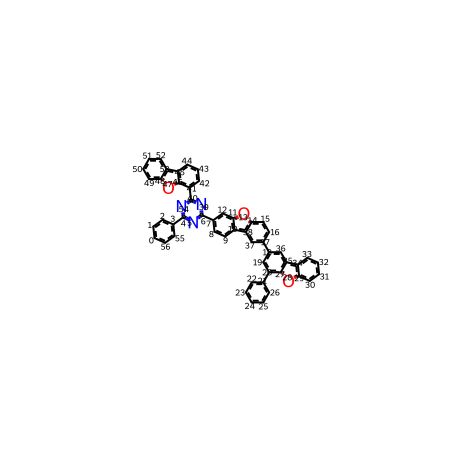 c1ccc(-c2nc(-c3ccc4c(c3)oc3ccc(-c5cc(-c6ccccc6)c6oc7ccccc7c6c5)cc34)nc(-c3cccc4c3oc3ccccc34)n2)cc1